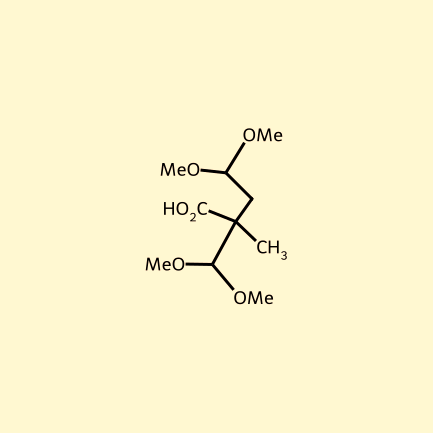 COC(CC(C)(C(=O)O)C(OC)OC)OC